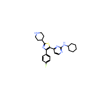 Fc1ccc(-c2nc(C3CCNCC3)sc2-c2ccnc(NC3CCCCC3)n2)cc1